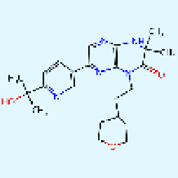 CC1(C)Nc2ncc(-c3ccc(C(C)(C)O)nc3)nc2N(CCC2CCOCC2)C1=O